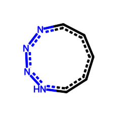 c1ccnnn[nH]cc1